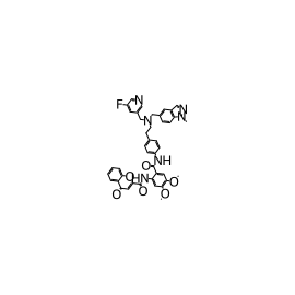 COc1cc(NC(=O)c2cc(=O)c3ccccc3o2)c(C(=O)Nc2ccc(CCN(Cc3cncc(F)c3)Cc3ccc4c(cnn4C)c3)cc2)cc1OC